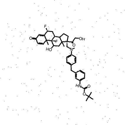 CN(C[C@]1(C(=O)CO)CCC2C3C[C@H](F)C4=CC(=O)C=CC4(C)[C@@]3(F)C(O)CC21C)c1ccc(Cc2cccc(NC(=O)OC(C)(C)C)c2)cc1